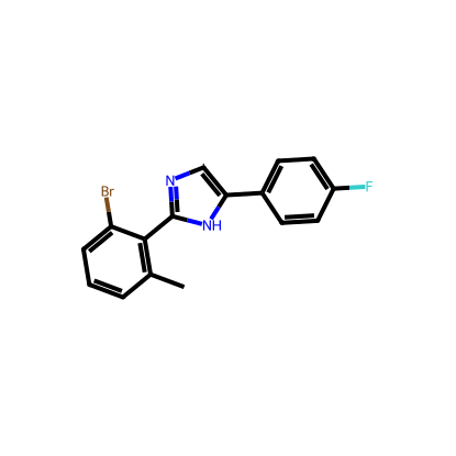 Cc1cccc(Br)c1-c1n[c]c(-c2ccc(F)cc2)[nH]1